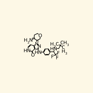 CC(C)(C)CNC(c1ccc(Nc2nn([C@H]3COCC[C@@H]3N)c3cc[nH]c(=O)c23)cc1)C(F)(F)F